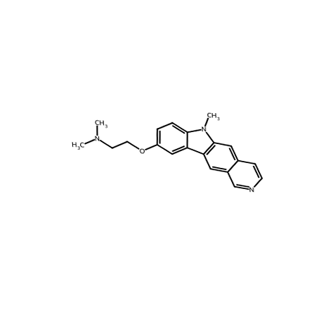 CN(C)CCOc1ccc2c(c1)c1cc3cnccc3cc1n2C